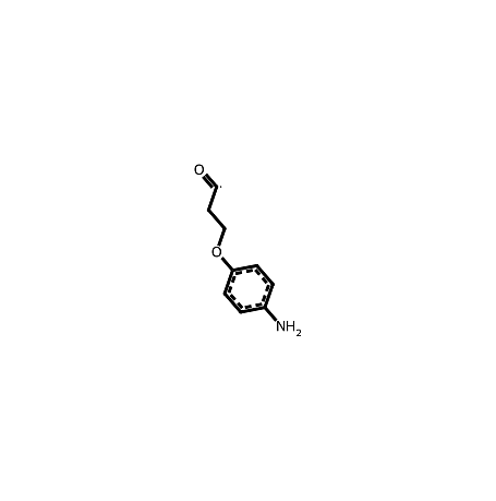 Nc1ccc(OCC[C]=O)cc1